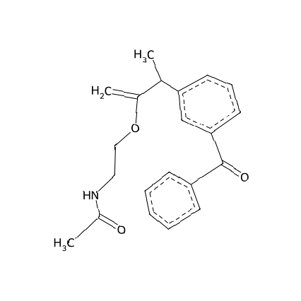 C=C(OCCNC(C)=O)C(C)c1cccc(C(=O)c2ccccc2)c1